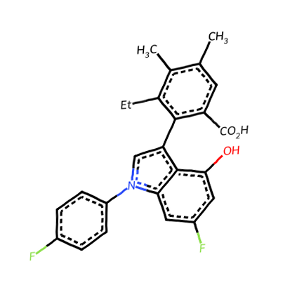 CCc1c(C)c(C)cc(C(=O)O)c1-c1cn(-c2ccc(F)cc2)c2cc(F)cc(O)c12